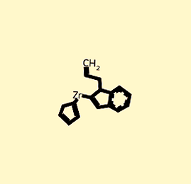 C=CCC1[C]([Zr][C]2=CC=CC2)=Cc2ccccc21